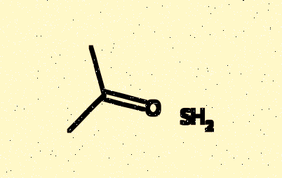 CC(C)=O.S